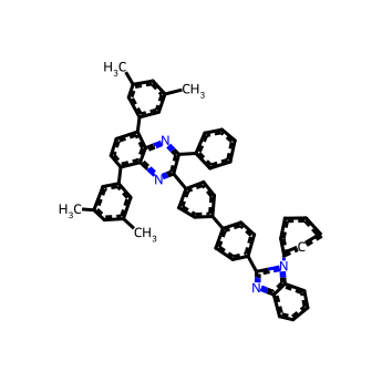 Cc1cc(C)cc(-c2ccc(-c3cc(C)cc(C)c3)c3nc(-c4ccc(-c5ccc(-c6nc7ccccc7n6-c6ccccc6)cc5)cc4)c(-c4ccccc4)nc23)c1